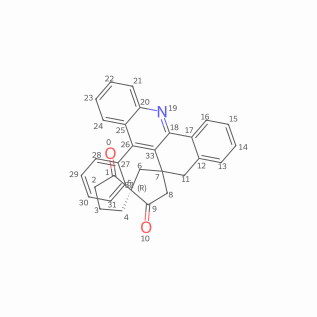 O=C1CCC[C@@]12CC1(CC2=O)Cc2ccccc2-c2nc3ccccc3c(-c3ccccc3)c21